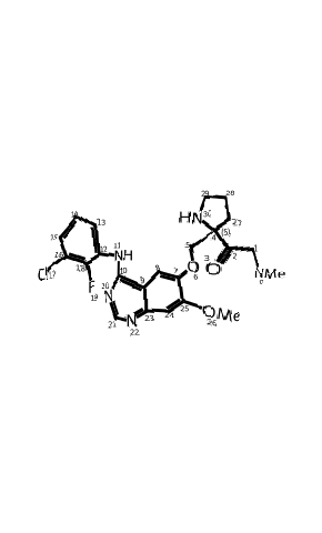 CNCC(=O)[C@@]1(COc2cc3c(Nc4cccc(Cl)c4F)ncnc3cc2OC)CCCN1